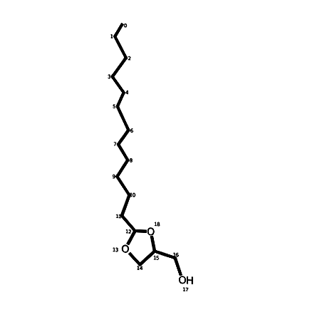 CCCCCCCCCCCCC1OCC(CO)O1